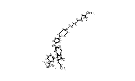 C=CCn1c(=O)c2cnc(Nc3ccc(N4CCN(CCCOCCCC(=O)OC)CC4)cc3)nc2n1-c1cccc(C(C)(C)O)n1